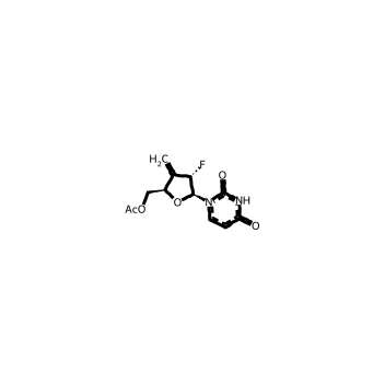 C=C1[C@H](COC(C)=O)O[C@H](n2ccc(=O)[nH]c2=O)[C@H]1F